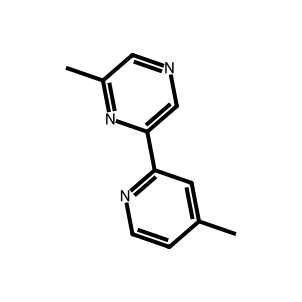 Cc1ccnc(-c2cncc(C)n2)c1